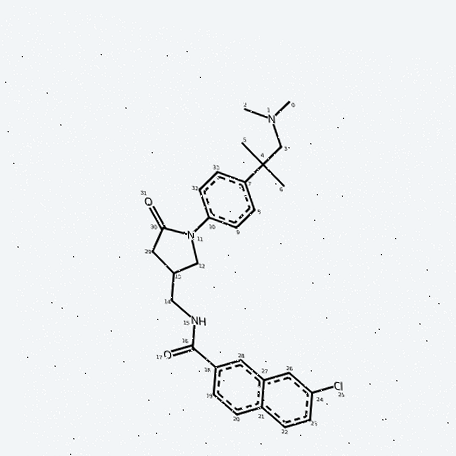 CN(C)CC(C)(C)c1ccc(N2CC(CNC(=O)c3ccc4ccc(Cl)cc4c3)CC2=O)cc1